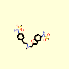 CN(CCc1ccc(NS(C)(=O)=O)cc1)Cc1cc2cc(NS(C)(=O)=O)ccc2o1